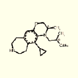 CO[C@H](C)CN1c2c(cc3c(c2C2CC2)CCNCC3)OC[C@H]1C